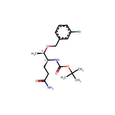 C[C@@H](OCc1cccc(Br)c1)[C@H](CCC(N)=O)NC(=O)OC(C)(C)C